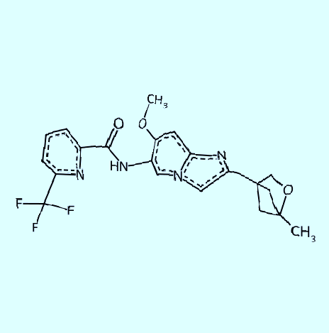 COc1cc2nc(C34COC(C)(C3)C4)cn2cc1NC(=O)c1cccc(C(F)(F)F)n1